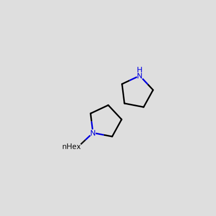 C1CCNC1.CCCCCCN1CCCC1